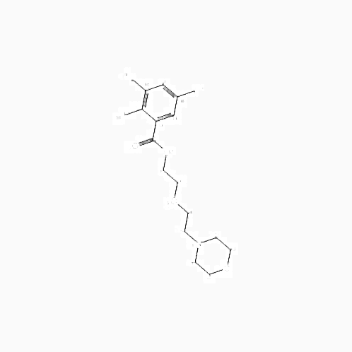 O=C(OCCOCCN1CCOCC1)c1cc(I)cc(I)c1I